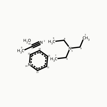 CC#N.CCN(CC)CC.O.c1ccncc1